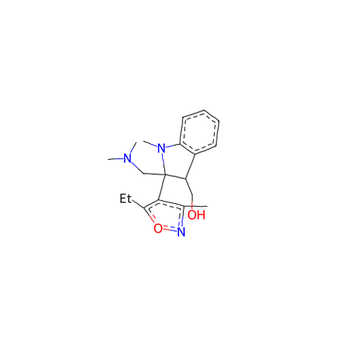 CCc1onc(C)c1C1(CN(C)C)C(CO)c2ccccc2N1C